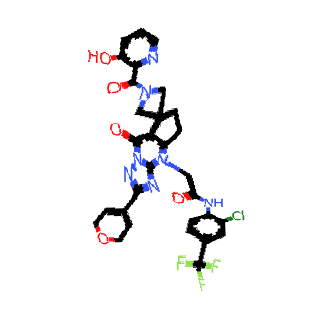 O=C(Cn1c2c(c(=O)n3nc(C4=CCOCC4)nc13)C1(CC2)CN(C(=O)c2ncccc2O)C1)Nc1ccc(C(F)(F)F)cc1Cl